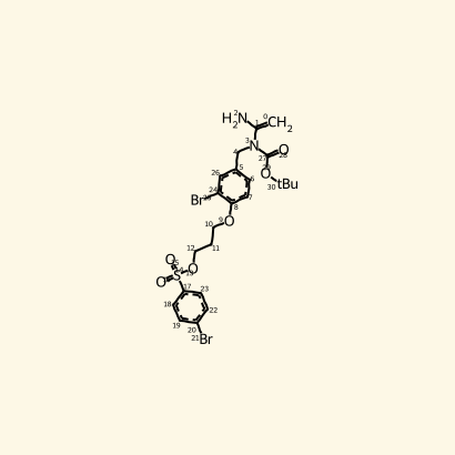 C=C(N)N(Cc1ccc(OCCCOS(=O)(=O)c2ccc(Br)cc2)c(Br)c1)C(=O)OC(C)(C)C